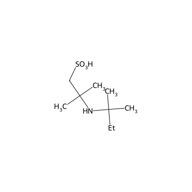 CCC(C)(C)NC(C)(C)CS(=O)(=O)O